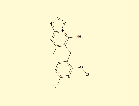 CCOc1nc(C(F)(F)F)ccc1Cc1c(C)nc2ncnn2c1N